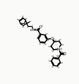 CC1(CCNC(=O)c2cccc(OC3CCN(C(=O)c4ccccc4)CC3)c2)CC2C=CC1C2